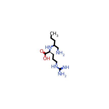 CCCC(CN)N[C@@H](CCCNC(=N)N)C(=O)O